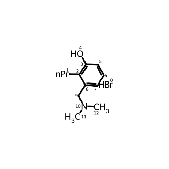 Br.CCCc1c(O)cccc1CN(C)C